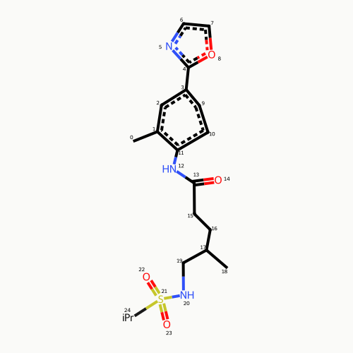 Cc1cc(-c2ncco2)ccc1NC(=O)CCC(C)CNS(=O)(=O)C(C)C